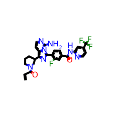 C=CC(=O)N1CCCC(c2nc(-c3ccc(C(=O)Nc4cc(C(F)(F)F)ccn4)cc3F)n3c(N)nccc23)C1